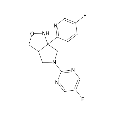 Fc1ccc(C23CN(c4ncc(F)cn4)CC2CON3)nc1